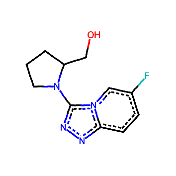 OCC1CCCN1c1nnc2ccc(F)cn12